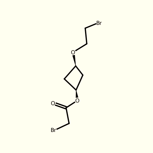 O=C(CBr)O[C@H]1C[C@@H](OCCBr)C1